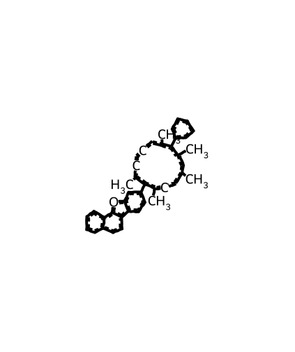 Cc1ccc(C)c(-c2ccc3c(c2)oc2c4ccccc4ccc32)c(C)ccccc(C)c(-c2ccccc2)c(C)c1